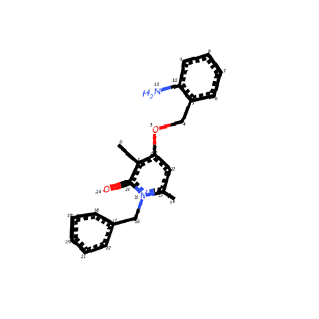 Cc1c(OCc2ccccc2N)cc(C)n(Cc2ccccc2)c1=O